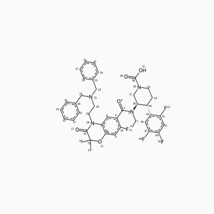 CCN(C(=O)c1cc2c(cc1F)OC(C)(C)C(=O)N2CCN(Cc1ccccc1)Cc1ccccc1)[C@H]1CN(C(=O)O)CC[C@@H]1c1cc(F)c(F)cc1F